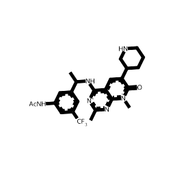 CC(=O)Nc1cc(C(C)Nc2nc(C)nc3c2cc(C2CCCNC2)c(=O)n3C)cc(C(F)(F)F)c1